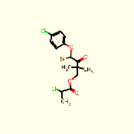 CC(Cl)C(=O)OCC(C)(C)C(=O)C(Br)Oc1ccc(Cl)cc1